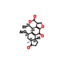 CC[C@H]1OC(=O)c2coc3c2[C@@]1(C)C1=C(C3=O)[C@@H]2CCC(=O)[C@@]2(C)C[C@H]1OC(C)=O